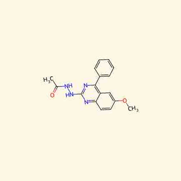 COc1ccc2nc(NNC(C)=O)nc(-c3ccccc3)c2c1